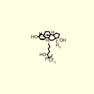 C=CC12CCc3cc(O)ccc3[C@H]1[C@@H](CCCC[C@@H](O)C(F)(F)C(F)(F)F)C[C@]1(C)[C@@H](O)CC[C@@H]21